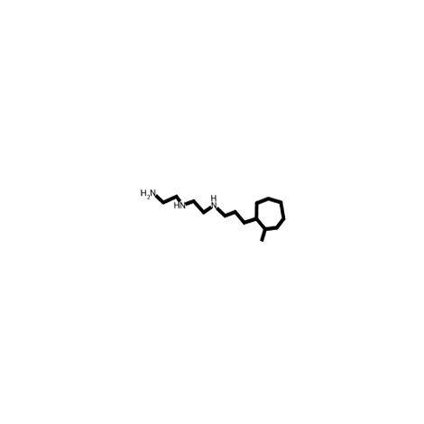 CC1CCCCCC1CCCNCCNCCN